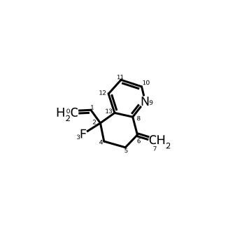 C=CC1(F)CCC(=C)c2ncccc21